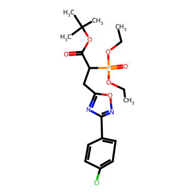 CCOP(=O)(OCC)C(Cc1nc(-c2ccc(Cl)cc2)no1)C(=O)OC(C)(C)C